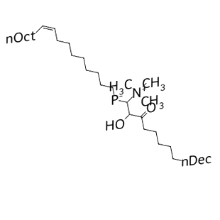 CCCCCCCC/C=C\CCCCCCCC[P-]C(C(O)C(=O)CCCCCCCCCCCCCCC)[N+](C)(C)C